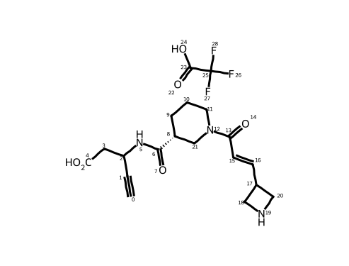 C#CC(CC(=O)O)NC(=O)[C@@H]1CCCN(C(=O)/C=C/C2CNC2)C1.O=C(O)C(F)(F)F